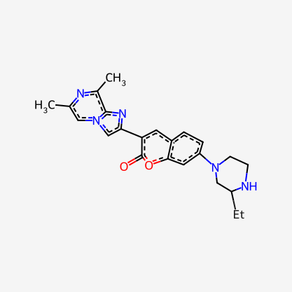 CCC1CN(c2ccc3cc(-c4cn5cc(C)nc(C)c5n4)c(=O)oc3c2)CCN1